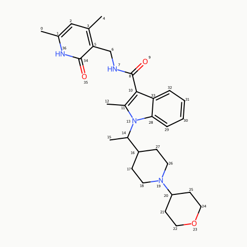 Cc1cc(C)c(CNC(=O)c2c(C)n(C(C)C3CCN(C4CCOCC4)CC3)c3ccccc23)c(=O)[nH]1